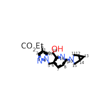 CCOC(=O)c1cnn(Cc2ccc(N3CC4CC4C3)nc2CO)c1